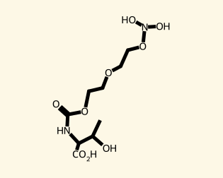 CC(O)C(NC(=O)OCCOCCON(O)O)C(=O)O